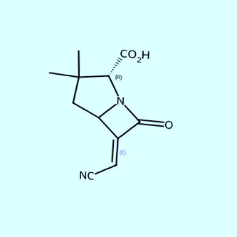 CC1(C)CC2/C(=C\C#N)C(=O)N2[C@H]1C(=O)O